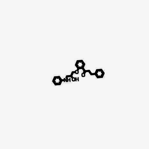 O=C(CCc1ccccc1)c1ccccc1OCC(O)CNc1ccccc1